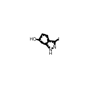 Oc1ccc2c(I)n[nH]c2c1